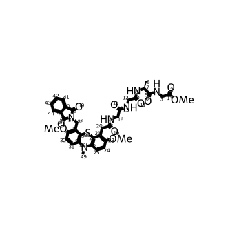 COC(=O)CNC(=O)[C@H](C)NC(=O)CNC(=O)CNC(=O)Cc1c(OC)ccc2c1Sc1c(ccc(OC)c1CN1C(=O)c3ccccc3C1=O)N2C